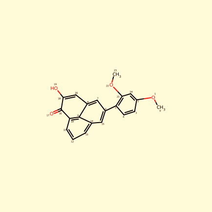 COc1ccc(-c2cc3c4c(cccc4c2)C(=O)C(O)=C3)c(OC)c1